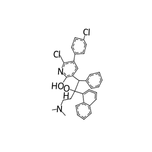 CN(C)CCC(O)(C1=C=C=Cc2ccccc21)C(c1ccccc1)c1cc(-c2ccc(Cl)cc2)c(Cl)nc1O